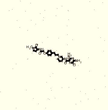 CN1CCC(NC(=O)COc2ccc(CCCN3CCC[C@H](NC(=O)c4nc(Cl)c(N)nc4N)C3)cc2)C1=O